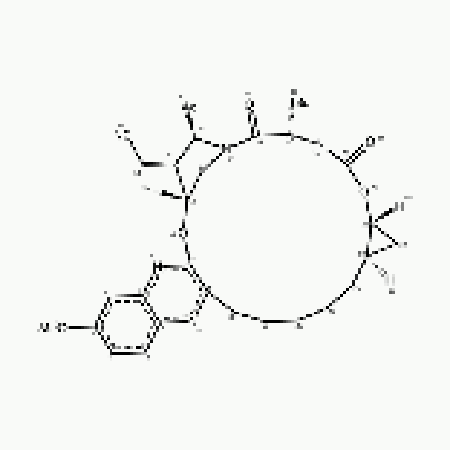 COc1ccc2nc3c(nc2c1)O[C@H]1CN(C(=O)[C@H](C(C)(C)C)NC(=O)O[C@@H]2C[C@H]2CCCCC3)[C@H](C(C)=O)[C@@H]1CC#N